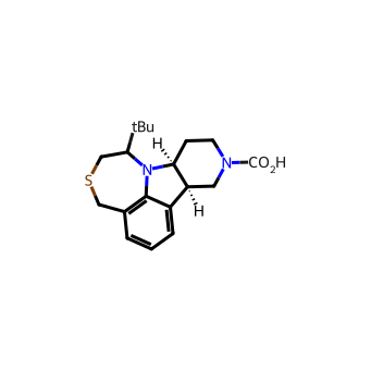 CC(C)(C)C1CSCc2cccc3c2N1[C@H]1CCN(C(=O)O)C[C@@H]31